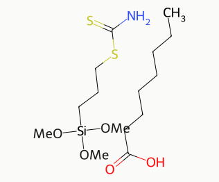 CCCCCCCC(=O)O.CO[Si](CCCSC(N)=S)(OC)OC